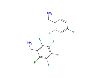 NCc1c(F)c(F)c(F)c(F)c1F.NCc1ccc(F)cc1F